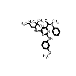 CCCC(Nc1cc(C(=O)N(C)c2ccccc2)nc(Nc2cccc(OC)c2)n1)C(C)(C)C